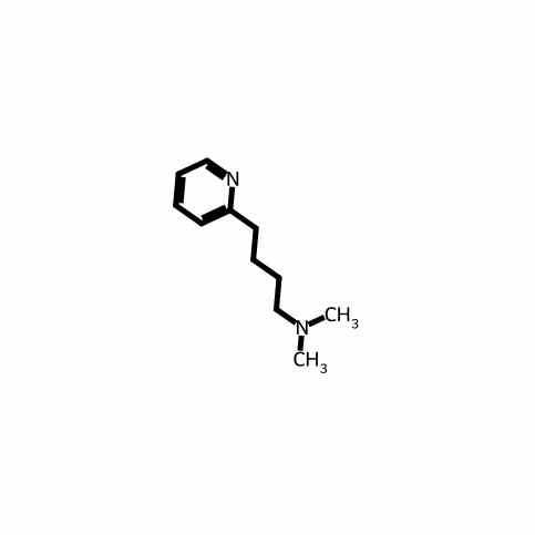 CN(C)CCCCc1ccccn1